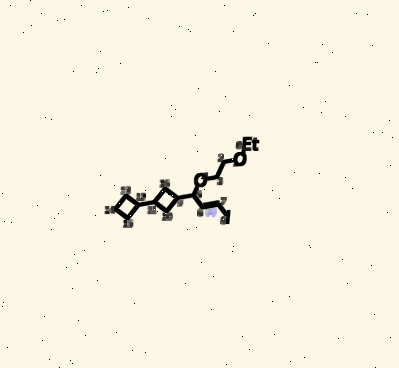 CCOCCOC(/C=C/I)C1CC(C2CCC2)C1